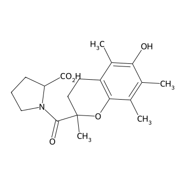 Cc1c(C)c2c(c(C)c1O)CCC(C)(C(=O)N1CCCC1C(=O)O)O2